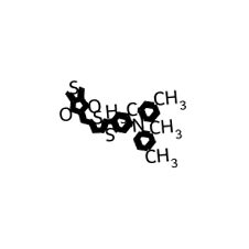 Cc1ccc(N(c2ccc3c(c2)sc2cc(C=C4C(=O)c5cscc5C4=O)sc23)c2ccc(C)cc2C)c(C)c1